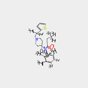 [2H]c1c([2H])c([2H])c(N(C(=O)CC([2H])([2H])[2H])C2(OC)CCN(CC([2H])([2H])c3cccs3)CC2)c([2H])c1[2H]